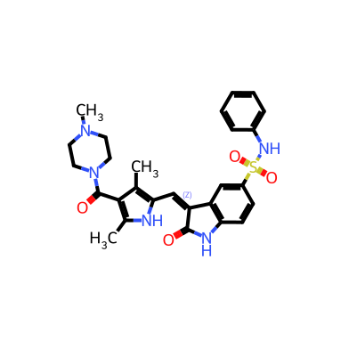 Cc1[nH]c(/C=C2\C(=O)Nc3ccc(S(=O)(=O)Nc4ccccc4)cc32)c(C)c1C(=O)N1CCN(C)CC1